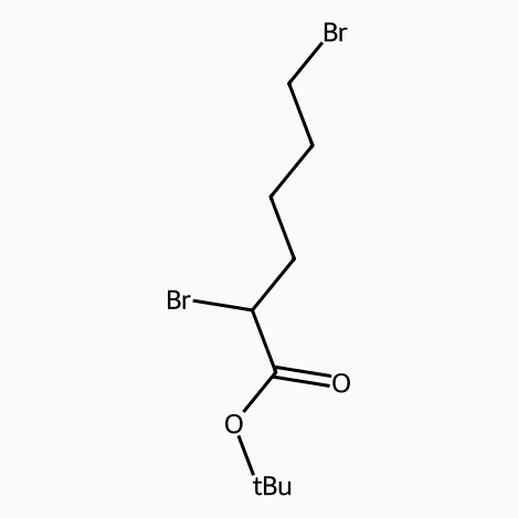 CC(C)(C)OC(=O)C(Br)CCCCBr